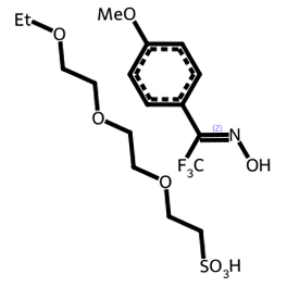 CCOCCOCCOCCS(=O)(=O)O.COc1ccc(/C(=N/O)C(F)(F)F)cc1